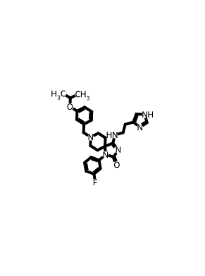 CC(C)Oc1cccc(CN2CCC3(CC2)C(NCCc2c[nH]cn2)=NC(=O)N3c2cccc(F)c2)c1